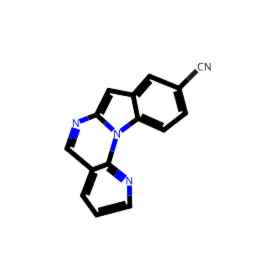 N#Cc1ccc2c(c1)cc1ncc3cccnc3n12